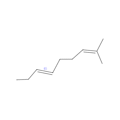 CC/C=C/CCC=C(C)C